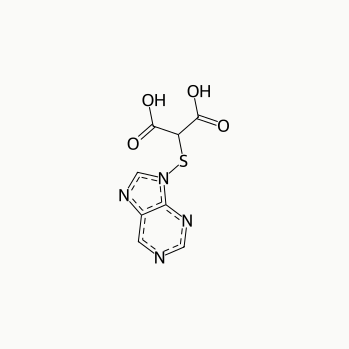 O=C(O)C(Sn1cnc2cncnc21)C(=O)O